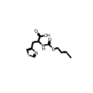 CCCCOC(=O)NC(Cc1cscn1)C(=O)O